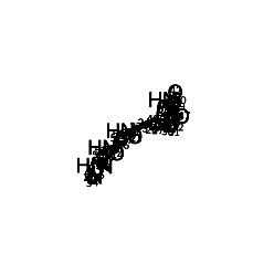 C[C@H]1CCCN1Cc1nc2cc(NC(=O)c3ccc(NC(=O)CCCC4CCN(c5cccc6c5C(=O)N(C5CCC(=O)NC5=O)C6=O)CC4)cc3)ccc2[nH]1